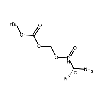 CC(C)[C@@H](N)[PH](=O)OCOC(=O)OC(C)(C)C